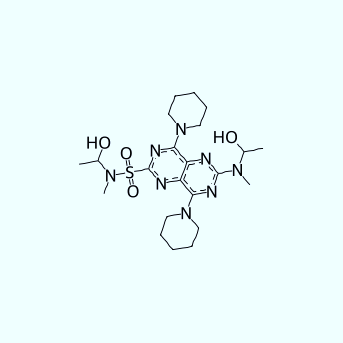 CC(O)N(C)c1nc(N2CCCCC2)c2nc(S(=O)(=O)N(C)C(C)O)nc(N3CCCCC3)c2n1